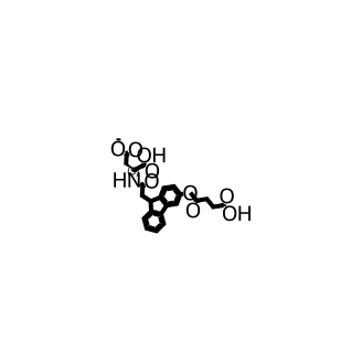 COC(=O)C[C@H](NC(=O)CC1c2ccccc2-c2cc(OC(=O)CCC(=O)O)ccc21)C(=O)O